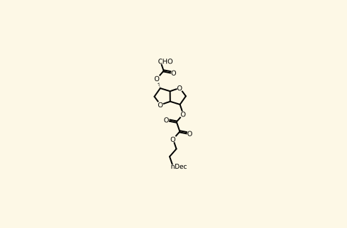 [CH2]CCCCCCCCCCCOC(=O)C(=O)OC1COC2C1OC[C@@H]2OC(=O)C=O